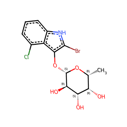 C[C@H]1O[C@@H](Oc2c(Br)[nH]c3cccc(Cl)c23)[C@H](O)[C@@H](O)[C@H]1O